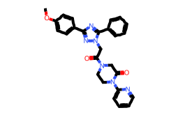 COc1ccc(-c2nc(-c3ccccc3)n(CC(=O)N3CCN(c4ccccn4)C(=O)C3)n2)cc1